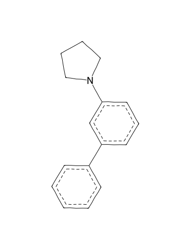 c1ccc(-c2cccc(N3CCCC3)c2)cc1